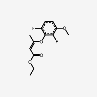 CCOC(=O)/C=C(/C)Oc1c(F)ccc(OC)c1F